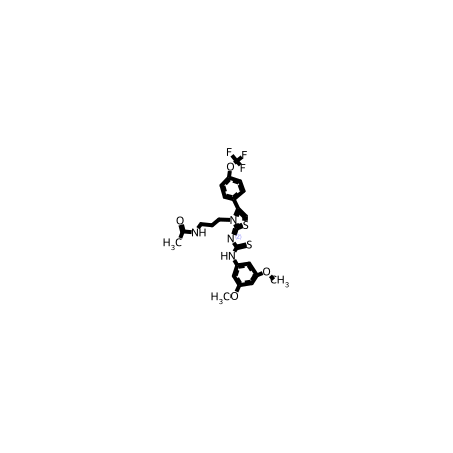 COc1cc(NC(=S)/N=c2\scc(-c3ccc(OC(F)(F)F)cc3)n2CCCNC(C)=O)cc(OC)c1